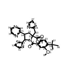 COc1cc(C(=O)N2C(c3nccs3)C(c3cnccn3)CC2(Cc2nccs2)C(=O)O)ccc1C(C)(C)C